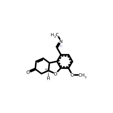 C/N=C/c1ccc(OC)c2c1C1C=CC(=O)C[C@@H]1O2